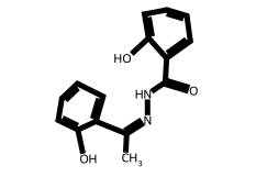 CC(=NNC(=O)c1ccccc1O)c1ccccc1O